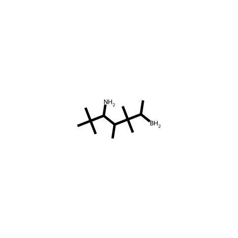 BC(C)C(C)(C)C(C)C(N)C(C)(C)C